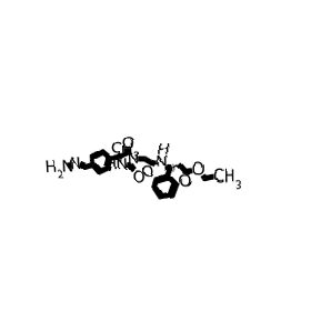 CCOC(=O)C[C@@H](NC(=O)CN1C(=O)N[C@](C)(c2ccc(C=NN)cc2)C1=O)c1ccccc1